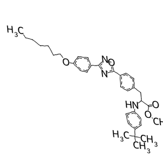 CCCCCCCOc1ccc(-c2noc(-c3ccc(CC(Nc4ccc(C(C)(C)C)cc4)C(=O)OC)cc3)n2)cc1